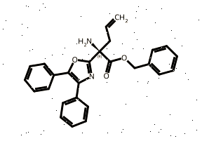 C=CC[C@](N)(C(=O)OCc1ccccc1)c1nc(-c2ccccc2)c(-c2ccccc2)o1